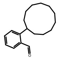 O=Cc1ccccc1C1CCCCCCCCCC1